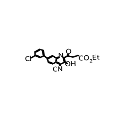 CCOC(=O)CCC(=O)c1nc2cc(-c3cccc(Cl)c3)ccc2c(C#N)c1O